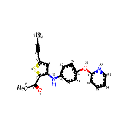 COC(=O)c1sc(C#CC(C)(C)C)cc1Nc1ccc(Oc2ccccn2)cc1